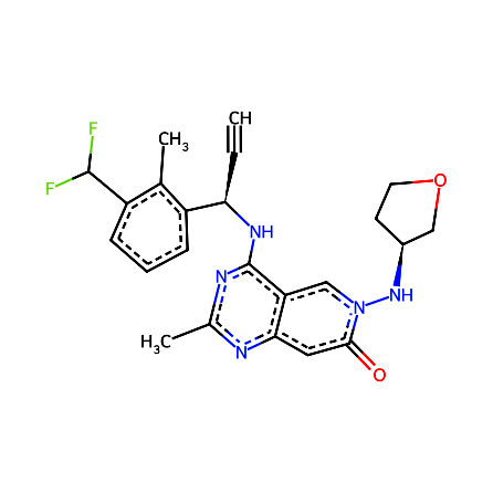 C#C[C@@H](Nc1nc(C)nc2cc(=O)n(N[C@H]3CCOC3)cc12)c1cccc(C(F)F)c1C